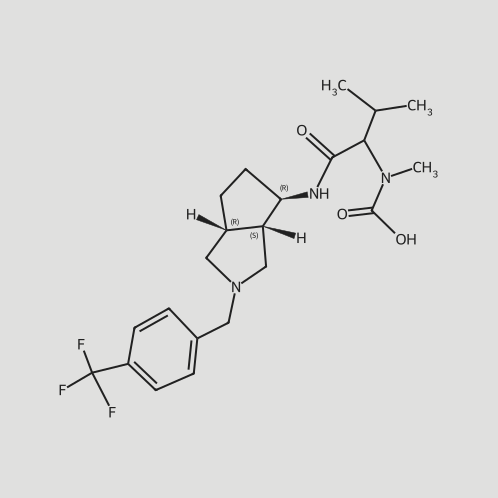 CC(C)C(C(=O)N[C@@H]1CC[C@H]2CN(Cc3ccc(C(F)(F)F)cc3)C[C@H]21)N(C)C(=O)O